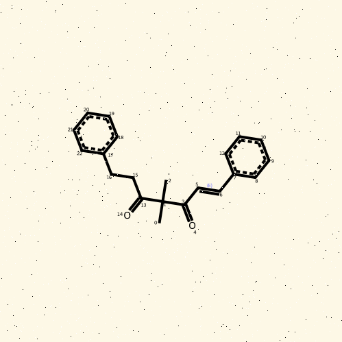 CC(C)(C(=O)/C=C/c1ccccc1)C(=O)CCc1ccccc1